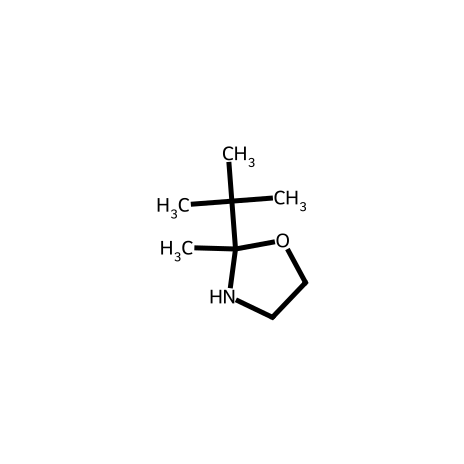 CC(C)(C)C1(C)NCCO1